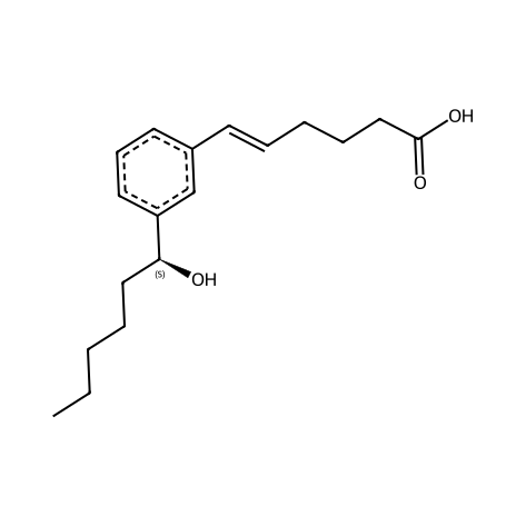 CCCCC[C@H](O)c1cccc(C=CCCCC(=O)O)c1